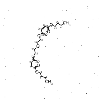 CCCCOC(=O)/C=C\C(=O)OCCOCCOC(=O)/C=C\C(=O)OCCCC